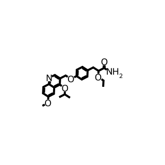 CCOC(Cc1ccc(OCc2cnc3ccc(OC)cc3c2OC(C)C)cc1)C(N)=O